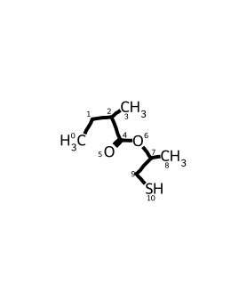 CCC(C)C(=O)OC(C)CS